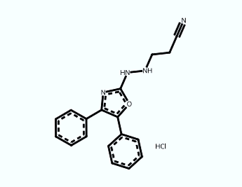 Cl.N#CCCNNc1nc(-c2ccccc2)c(-c2ccccc2)o1